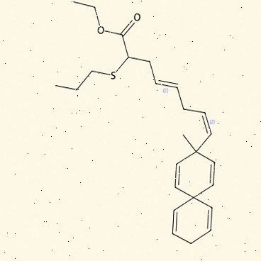 CCCSC(C/C=C/C/C=C\C1(C)C=CC2(C=CCC=C2)C=C1)C(=O)OCC